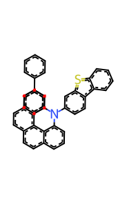 c1ccc(-c2cccc(N(c3ccc4c(c3)sc3ccccc34)c3cccc4ccc5ccc6ccccc6c5c34)c2)cc1